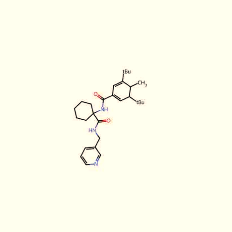 CC1C(C(C)(C)C)=CC(C(=O)NC2(C(=O)NCc3cccnc3)CCCCC2)=CC1C(C)(C)C